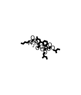 CCCCCOC(=O)OC(C)CC(c1ccc(OC(=O)OCC(C)CC)c(OC(=O)OCC(C)CC)c1)[C@H](N)C(=O)O